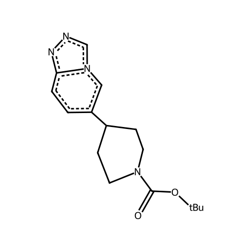 CC(C)(C)OC(=O)N1CCC(c2ccc3nncn3c2)CC1